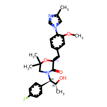 COc1cc(/C=C2\OC(C)(C)CN([C@H](c3ccc(F)cc3)[C@@H](C)O)C2=O)ccc1-n1cnc(C)c1